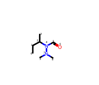 CCC(C)N(C=O)N(C)C